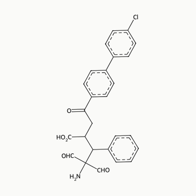 NC(C=O)(C=O)C(c1ccccc1)C(CC(=O)c1ccc(-c2ccc(Cl)cc2)cc1)C(=O)O